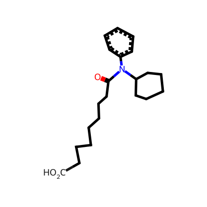 O=C(O)CCCCCCCC(=O)N(c1ccccc1)C1CCCCC1